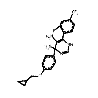 NC1=C(c2ccc(C(F)(F)F)cc2F)NC=NC1(N)c1ccc(OCC2CC2)cc1